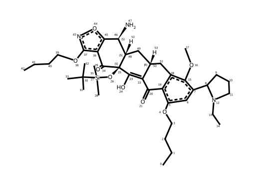 CCCCOc1cc(C2CCCN2CC)c(OC)c2c1C(=O)C1=C(O)[C@]3(O[Si](C)(C)C(C)(C)C)C(=O)c4c(OCCCC)noc4[C@@H](N)[C@@H]3C[C@@H]1C2